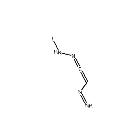 N=NC=C=NNI